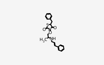 CC(CON1C(=O)SC(Cc2ccccc2)C1=O)NCC=Cc1ccccc1